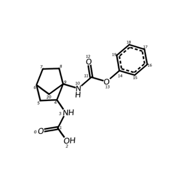 O=C(O)NC1CC2CCC1(NC(=O)Oc1ccccc1)C2